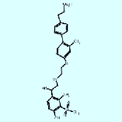 Cc1cc(OCCNCC(O)c2ccc(O)c(S(C)(=O)=O)c2N)ccc1-c1ccc(CCC(=O)O)cc1